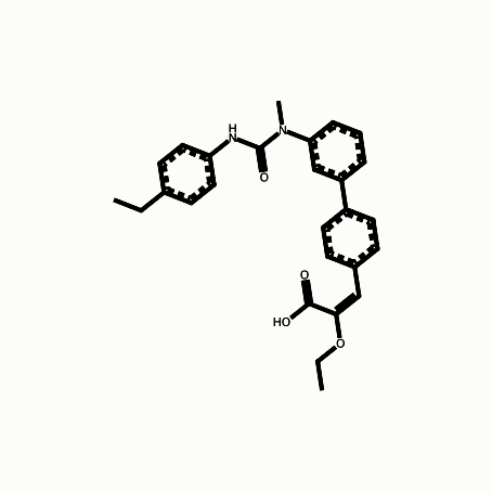 CCO/C(=C/c1ccc(-c2cccc(N(C)C(=O)Nc3ccc(CC)cc3)c2)cc1)C(=O)O